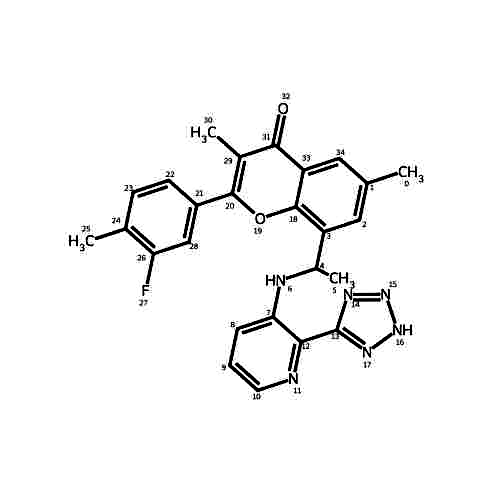 Cc1cc(C(C)Nc2cccnc2-c2nn[nH]n2)c2oc(-c3ccc(C)c(F)c3)c(C)c(=O)c2c1